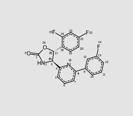 O=C1N[C@H](c2cccc(-c3cccc(F)c3)n2)[C@@H](c2ccc(F)cc2F)O1